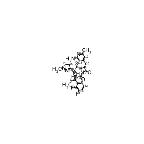 CC[C@@H](NC(=O)N1C(=O)[C@H](Cc2cc(C)nc(N)c2)[C@H]1C(=O)N(C)c1ccn(C)n1)c1cccc(F)c1F